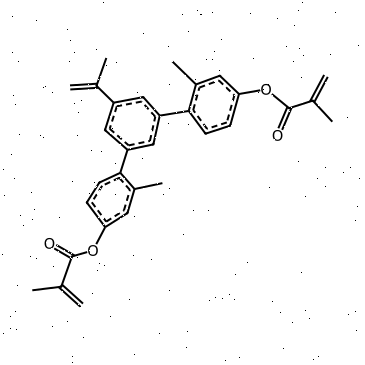 C=C(C)C(=O)Oc1ccc(-c2cc(C(=C)C)cc(-c3ccc(OC(=O)C(=C)C)cc3C)c2)c(C)c1